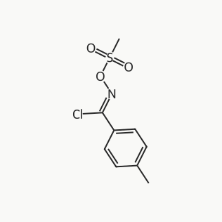 Cc1ccc(C(Cl)=NOS(C)(=O)=O)cc1